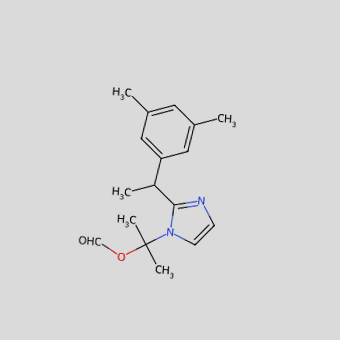 Cc1cc(C)cc(C(C)c2nccn2C(C)(C)OC=O)c1